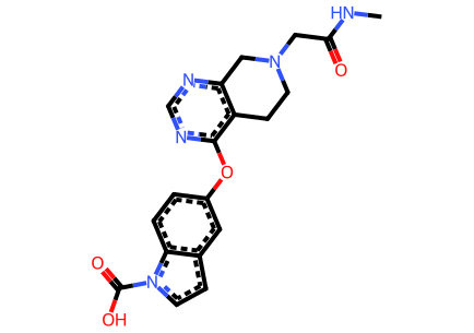 CNC(=O)CN1CCc2c(ncnc2Oc2ccc3c(ccn3C(=O)O)c2)C1